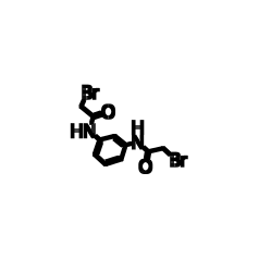 O=C(CBr)Nc1cccc(NC(=O)CBr)c1